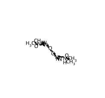 CC(C)C(=O)NCc1cn(CCOCCOCCn2cc(CNC(=O)C(C)C)nn2)nn1